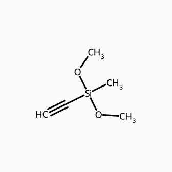 C#C[Si](C)(OC)OC